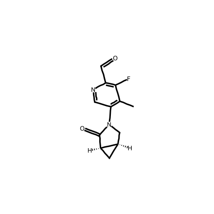 Cc1c(N2C[C@H]3C[C@H]3C2=O)cnc(C=O)c1F